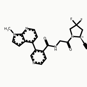 Cn1ccc2c(-c3cnccc3C(=O)NCC(=O)N3CC(F)(F)C[C@H]3C#N)ccnc21